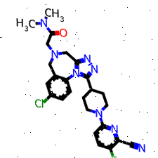 CN(C)C(=O)CN1Cc2cc(Cl)ccc2-n2c(nnc2C2CCN(c3ccc(F)c(C#N)n3)CC2)C1